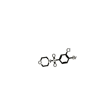 O=S(=O)(c1ccc(Br)c(Cl)c1)N1CCOCC1